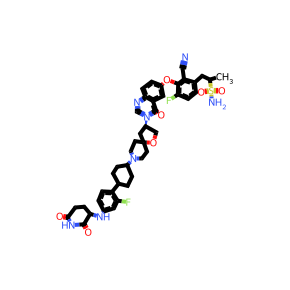 CC(Cc1ccc(F)c(Oc2ccc3ncn([C@H]4COC5(CCN(C6CCC(c7ccc(NC8CCC(=O)NC8=O)cc7F)CC6)CC5)C4)c(=O)c3c2)c1C#N)S(N)(=O)=O